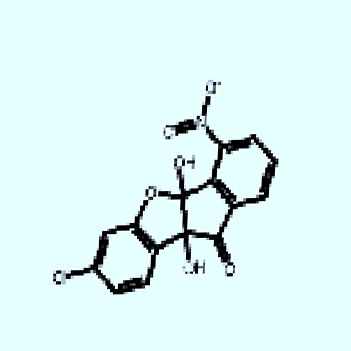 O=C1c2cccc([N+](=O)[O-])c2C2(O)Oc3cc(Cl)ccc3C12O